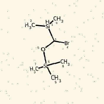 C[SiH](C)C(Br)O[Si](C)(C)C